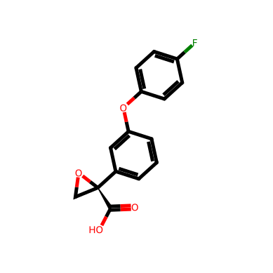 O=C(O)[C@@]1(c2cccc(Oc3ccc(F)cc3)c2)CO1